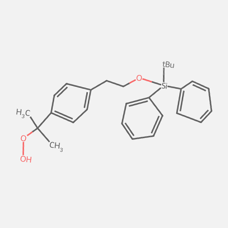 CC(C)(OO)c1ccc(CCO[Si](c2ccccc2)(c2ccccc2)C(C)(C)C)cc1